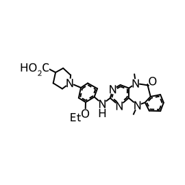 CCOc1cc(N2CCC(C(=O)O)CC2)ccc1Nc1ncc2c(n1)N(C)c1ccccc1C(=O)N2C